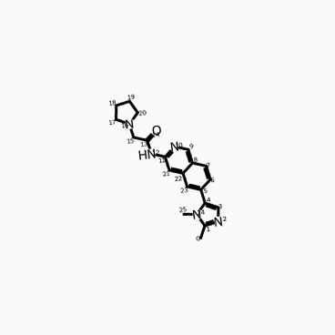 Cc1ncc(-c2ccc3cnc(NC(=O)CN4CCCC4)cc3c2)n1C